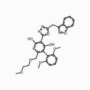 COCCOCc1nc(O)c(-c2nnc(Cc3noc4ccccc34)o2)c(O)c1-c1c(OC)cccc1OC